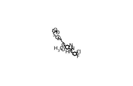 COc1cc2c(Nc3ccc(F)c(Cl)c3)ncnc2cc1OCCCN1CCC(SC2CCOC2=O)CC1